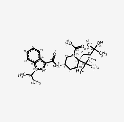 CC(C)n1nc(C(=O)N[C@H]2CC[C@](CCC(C)(C)O)(C(C)(C)C)N(C(=O)O)C2)c2ccccc21